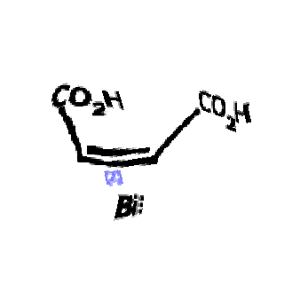 O=C(O)/C=C\C(=O)O.[Bi]